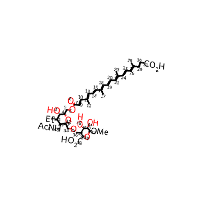 CCC1C(O)C(COC(=O)/C=C/C(C)=C/C=C/C(C)=C/C=C/C=C(C)/C=C/C=C(C)/C=C/C(=O)O)OC(COCC2C(C(=O)O)OC(OC)C(O)C2O)C1NC(C)=O